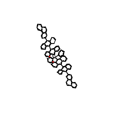 C1=CCc2c(c(-c3ccc4c(ccc5ccccc54)c3)c3ccccc3c2-c2c3ccccc3c([Si](c3ccccc3)(c3ccccc3)c3c4ccccc4c(-c4c5ccccc5c(-c5ccc6c(ccc7ccccc76)c5)c5ccccc45)c4ccccc34)c3ccccc23)C1